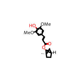 COc1cc(/C=C/C(=O)O[C@H]2C[C@H]3CC[C@]2(C)C3(C)C)cc(OC)c1O